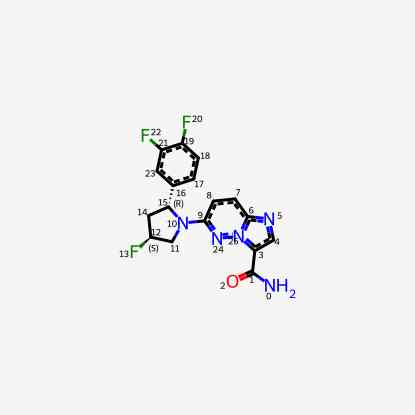 NC(=O)c1cnc2ccc(N3C[C@@H](F)C[C@@H]3c3ccc(F)c(F)c3)nn12